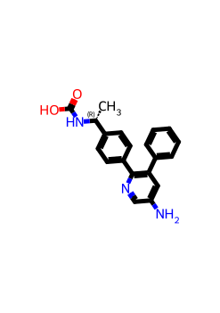 C[C@@H](NC(=O)O)c1ccc(-c2ncc(N)cc2-c2ccccc2)cc1